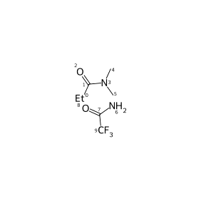 CCC(=O)N(C)C.NC(=O)C(F)(F)F